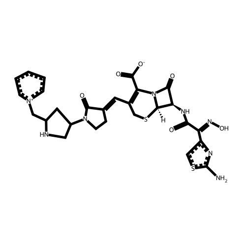 Nc1nc(C(=NO)C(=O)N[C@@H]2C(=O)N3C(C(=O)[O-])=C(C=C4CCN(C5CNC(C[n+]6ccccc6)C5)C4=O)CS[C@H]23)cs1